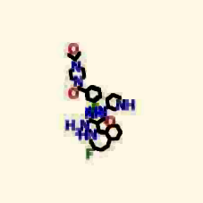 NC(N)C(C(=O)NC1CNCC[C@H]1c1ccc(C(=O)N2CCN(C3COC3)CC2)cc1F)/C1=C2\CCCCC2CCC(F)CN1